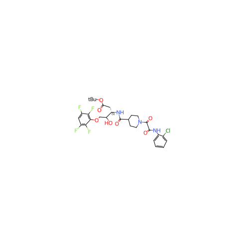 CC(C)(C)OC(=O)C[C@H](NC(=O)C1CCN(C(=O)C(=O)Nc2ccccc2Cl)CC1)C(O)COc1c(F)c(F)cc(F)c1F